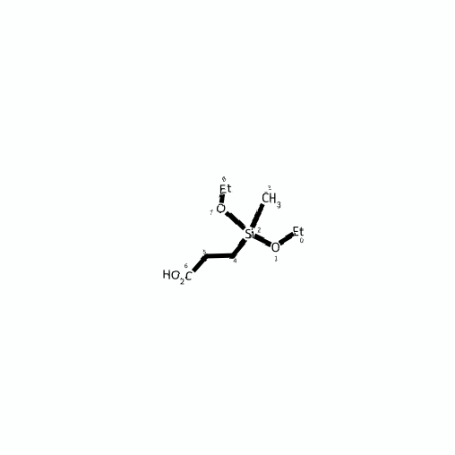 CCO[Si](C)(CCC(=O)O)OCC